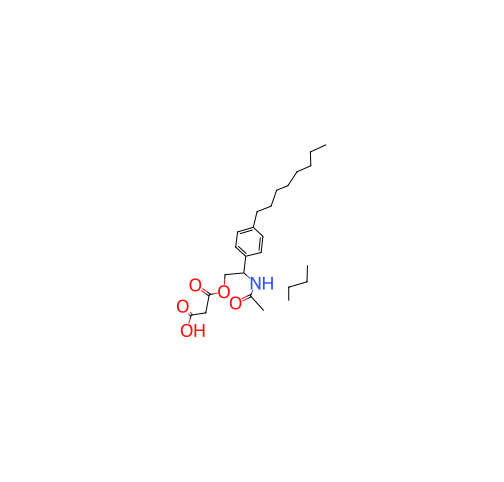 CCCC.CCCCCCCCc1ccc(C(COC(=O)CC(=O)O)NC(C)=O)cc1